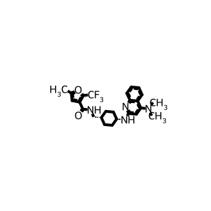 Cc1cc(C(=O)NC[C@H]2CC[C@@H](Nc3cc(N(C)C)c4ccccc4n3)CC2)c(C(F)(F)F)o1